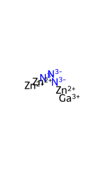 [Ga+3].[N-3].[N-3].[N-3].[Zn+2].[Zn+2].[Zn+2]